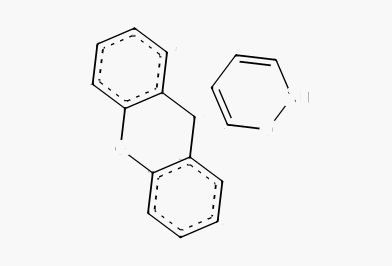 C1=CNOC=C1.c1ccc2c(c1)Cc1ccccc1O2